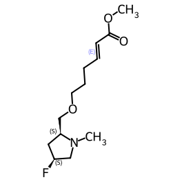 COC(=O)/C=C/CCCOC[C@@H]1C[C@H](F)CN1C